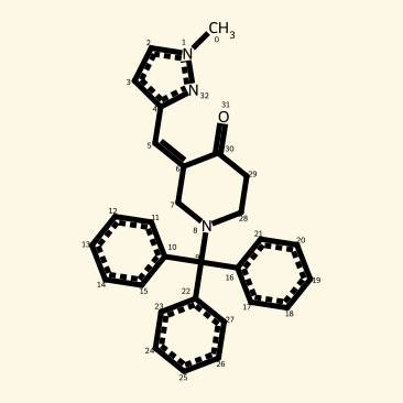 Cn1ccc(/C=C2/CN(C(c3ccccc3)(c3ccccc3)c3ccccc3)CCC2=O)n1